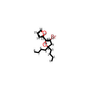 CCCCC1(CCCC)CC(Br)=C(c2ccco2)O1